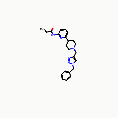 CCC(=O)Nc1cccc(C2CCN(Cc3cn(Cc4ccccc4)nn3)CC2)n1